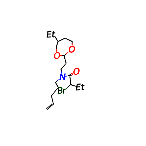 C=CCCCN(CCC1OCCC(CC)CO1)C(=O)C(Br)CC